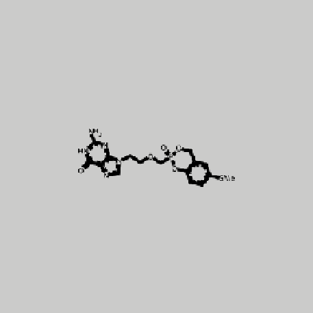 CSc1ccc2c(c1)COP(=O)(COCCn1cnc3c(=O)[nH]c(N)nc31)O2